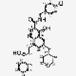 O=C(NCc1ccc(Cl)cc1)c1nnc2c(CCC(O)c3ccccc3)cc(CC3CCOCC3)cc2c1O